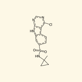 CC1(NS(=O)(=O)c2ccc3c(c2)[nH]c2ncnc(Cl)c23)CC1